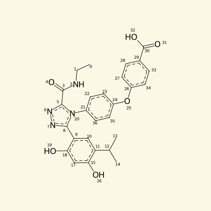 CCNC(=O)c1nnc(-c2cc(C(C)C)c(O)cc2O)n1-c1ccc(Oc2ccc(C(=O)O)cc2)cc1